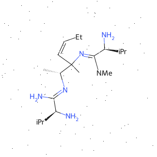 CC/C=C\C(C)(/N=C(\NC)[C@@H](N)C(C)C)[C@@H](C)/N=C(\N)[C@@H](N)C(C)C